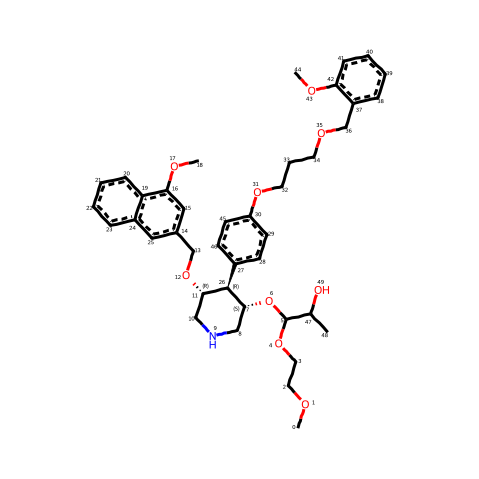 COCCOC(O[C@@H]1CNC[C@H](OCc2cc(OC)c3ccccc3c2)[C@H]1c1ccc(OCCCOCc2ccccc2OC)cc1)C(C)O